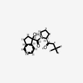 CC(C)(C)CC(=O)[C@@H]1CCCN1C(=O)C1(O)CCc2cnccc21